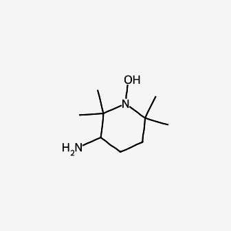 CC1(C)CCC(N)C(C)(C)N1O